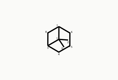 CC1(C)C2C[CH]CC1C2